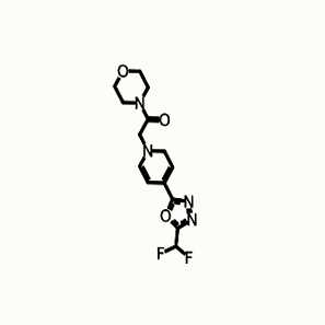 O=C(CN1C=CC(c2nnc(C(F)F)o2)=CC1)N1CCOCC1